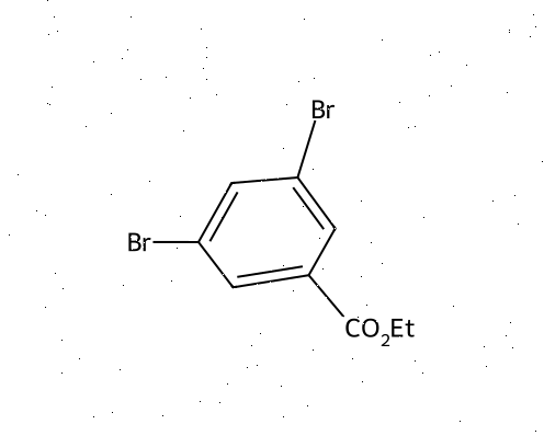 CCOC(=O)c1cc(Br)cc(Br)c1